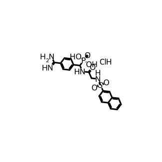 Cl.N=C(N)c1ccc(C(NC(=O)CNS(=O)(=O)c2ccc3ccccc3c2)P(=O)(O)O)cc1